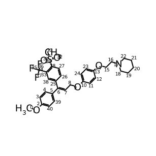 COc1ccc(C(=CCOc2ccc(OCCN3CCCCC3)cc2)c2ccc(S(C)(=O)=O)c(C(F)(F)F)c2)cc1